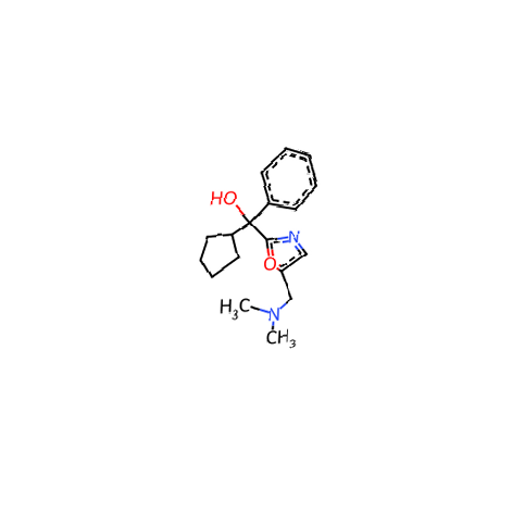 CN(C)Cc1cnc(C(O)(c2ccccc2)C2CCCC2)o1